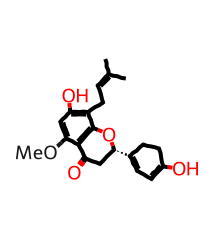 COc1cc(O)c(CC=C(C)C)c2c1C(=O)C[C@@H](C1=CC=C(O)CC1)O2